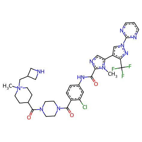 Cn1c(-c2cn(-c3ncccn3)nc2C(F)(F)F)cnc1C(=O)Nc1ccc(C(=O)N2CCN(C(=O)C3CC[N+](C)(CC4CNC4)CC3)CC2)c(Cl)c1